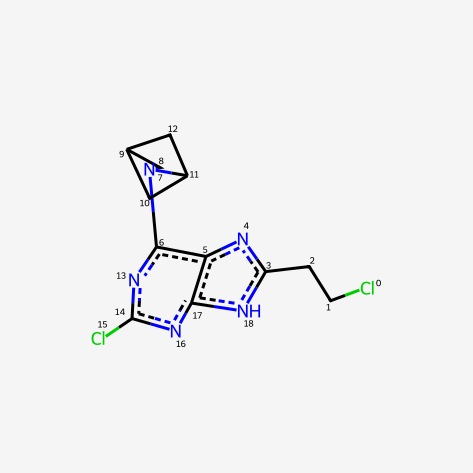 ClCCc1nc2c(N3CC4CC3C4)nc(Cl)nc2[nH]1